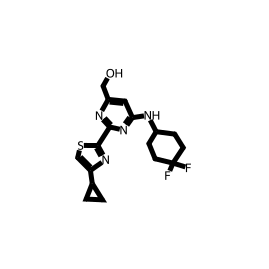 OCc1cc(NC2CCC(F)(F)CC2)nc(-c2nc(C3CC3)cs2)n1